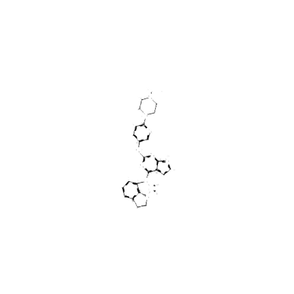 CN1CCN(c2ccc(Nc3nc(N4c5cccc6c5N(CC6)S4(=O)=O)c4cc[nH]c4n3)cn2)CC1